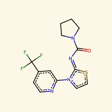 O=C(N=c1sccn1-c1cc(C(F)(F)F)ccn1)N1CCCC1